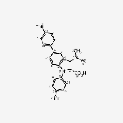 CC(=O)N(C)C1c2cc(-c3ccc(C(C)(C)C)cc3)ccc2N(c2ccc(C(C)C)cc2)C1C(=O)O